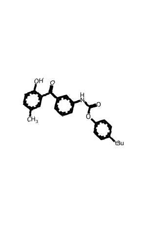 Cc1ccc(O)c(C(=O)c2cccc(NC(=O)Oc3ccc(C(C)(C)C)cc3)c2)c1